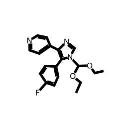 CCOC(OCC)n1cnc(-c2ccncc2)c1-c1ccc(F)cc1